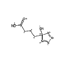 O=C(O)CCCC1(S)N=NN=N1